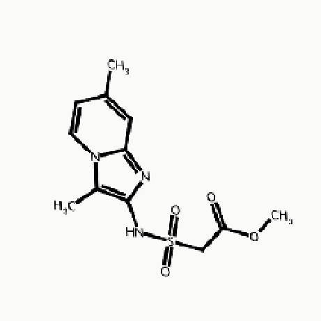 COC(=O)CS(=O)(=O)Nc1nc2cc(C)ccn2c1C